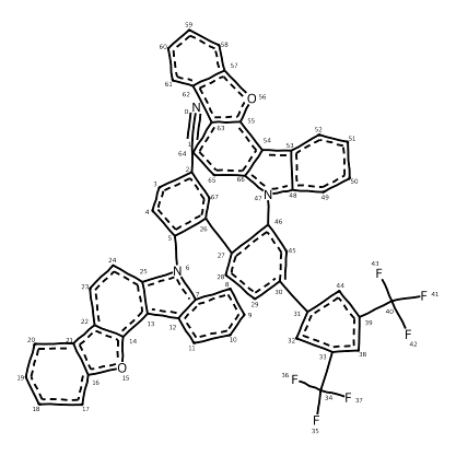 N#Cc1ccc(-n2c3ccccc3c3c4oc5ccccc5c4ccc32)c(-c2ccc(-c3cc(C(F)(F)F)cc(C(F)(F)F)c3)cc2-n2c3ccccc3c3c4oc5ccccc5c4ccc32)c1